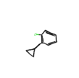 Clc1ccc[c]c1C1CC1